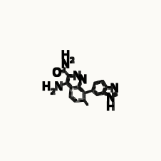 Cc1ccc2c(N)c(C(N)=O)nnc2c1-c1ccc2nc[nH]c2c1